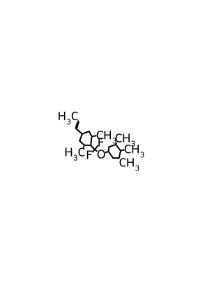 C/C=C/C1CC(C)C(C(F)(F)OC2CC(C)C(C)C(C)C2)C(C)C1